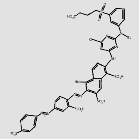 CCN(c1cccc(S(=O)(=O)CCOS(=O)(=O)O)c1)c1nc(Cl)nc(Nc2ccc3c(O)c(/N=N/c4ccc(/N=N/c5ccc(S(=O)(=O)O)cc5)cc4S(=O)(=O)O)c(S(=O)(=O)O)cc3c2S(=O)(=O)O)n1